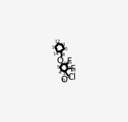 O=C(Cl)c1ccc(OCc2ccccc2)c(F)c1F